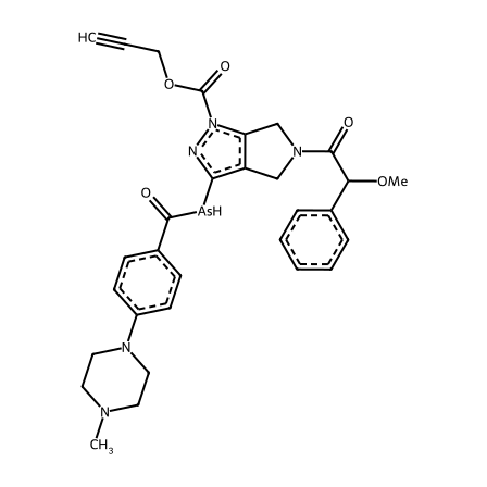 C#CCOC(=O)n1nc([AsH]C(=O)c2ccc(N3CCN(C)CC3)cc2)c2c1CN(C(=O)C(OC)c1ccccc1)C2